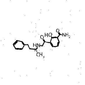 C[C@H](CCc1ccccc1)NCC(=O)c1cccc(C(N)=O)c1O